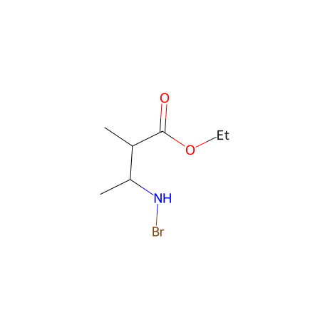 CCOC(=O)C(C)C(C)NBr